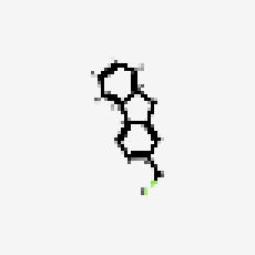 FCc1ccc2c(c1)Cc1ccccc1-2